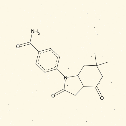 CC1(C)CC(=O)C2CC(=O)N(c3ccc(C(N)=O)cc3)C2C1